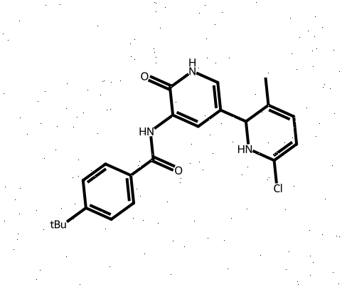 CC1=CC=C(Cl)NC1c1c[nH]c(=O)c(NC(=O)c2ccc(C(C)(C)C)cc2)c1